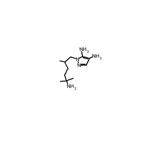 CC(CCC(C)(C)N)Cn1ncc(N)c1N